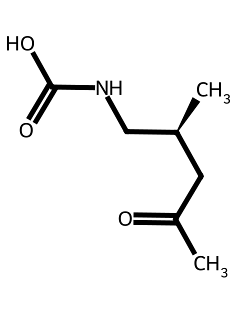 CC(=O)C[C@H](C)CNC(=O)O